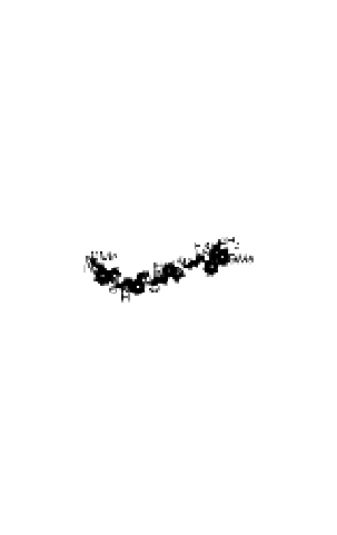 C=C/C=C(\C)C(NCCCCCC(=O)N1CCc2c1ccc1[nH]c(C(=O)N3CCc4c3ccc3[nH]c(C(=O)N5CCc6c5ccc5[nH]c(C(=O)OC)cc65)cc43)cc21)(c1ccccc1)c1ccc(OC)cc1